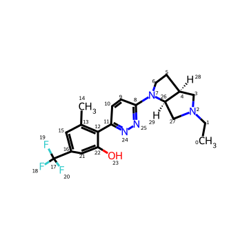 CCN1C[C@@H]2CCN(c3ccc(-c4c(C)cc(C(F)(F)F)cc4O)nn3)[C@@H]2C1